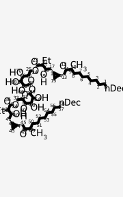 CCCCCCCCCCCCCCCCCC[C@H](C)C(=O)C[C@@H]1C[C@@H]1C[C@@H](O)[C@@H](CC)C(=O)OCC1OC(OC2OC(COC(=O)[C@H](CC)[C@H](O)C[C@H]3C[C@H]3CC(=O)[C@@H](C)CCCCCCCCCCCCCCCCCC)C(O)C(O)C2O)C(O)C(O)C1O